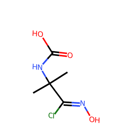 CC(C)(NC(=O)O)C(Cl)=NO